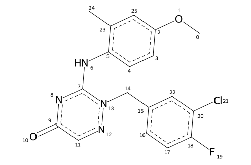 COc1ccc(Nc2nc(=O)cnn2Cc2ccc(F)c(Cl)c2)c(C)c1